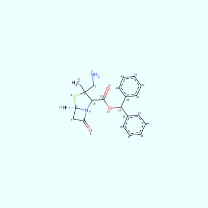 CC1(CN)S[C@@H]2CC(=O)N2C1C(=O)OC(c1ccccc1)c1ccccc1